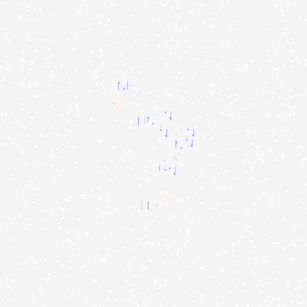 COCCn1cc(-n2nnc3cnc(N[C@@H]4CCC[C@@H](C(N)=O)C4)nc32)cn1